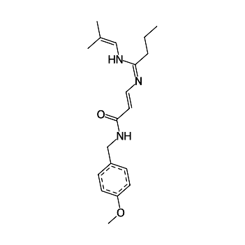 CCC/C(=N/C=C/C(=O)NCc1ccc(OC)cc1)NC=C(C)C